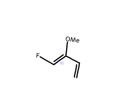 C=C/C(=C/F)OC